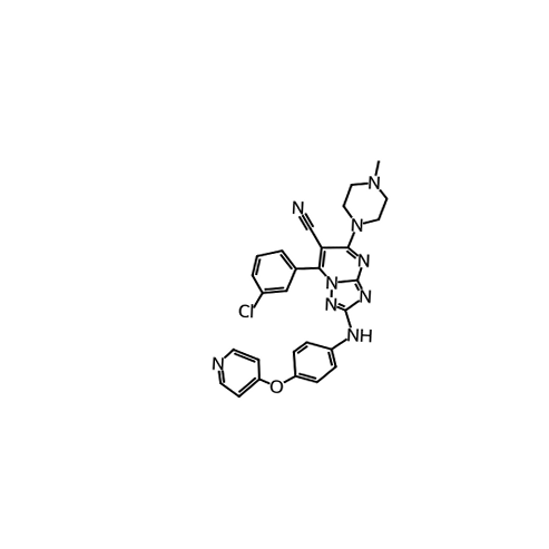 CN1CCN(c2nc3nc(Nc4ccc(Oc5ccncc5)cc4)nn3c(-c3cccc(Cl)c3)c2C#N)CC1